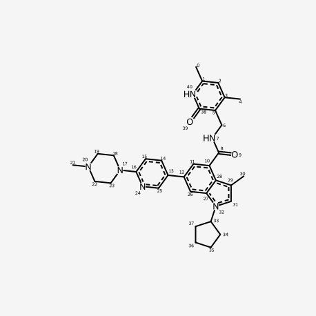 Cc1cc(C)c(CNC(=O)c2cc(-c3ccc(N4CCN(C)CC4)nc3)cc3c2c(C)cn3C2CCCC2)c(=O)[nH]1